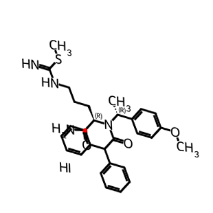 COc1ccc([C@@H](C)N(C(=O)C(c2ccccc2)c2ccccc2)[C@H](CCCNC(=N)SC)C(N)=O)cc1.I